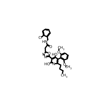 CCCCc1nc(O)c(-c2nnc(CC(=O)NCc3ccccc3Cl)o2)c(O)c1-c1c(OC)cccc1OC